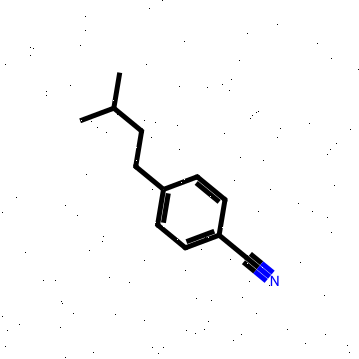 CC(C)CCc1ccc(C#N)cc1